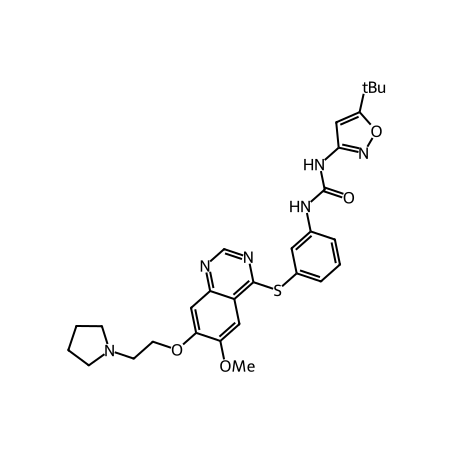 COc1cc2c(Sc3cccc(NC(=O)Nc4cc(C(C)(C)C)on4)c3)ncnc2cc1OCCN1CCCC1